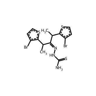 CC(C(=NNC(N)=S)C(C)c1sccc1Br)c1sccc1Br